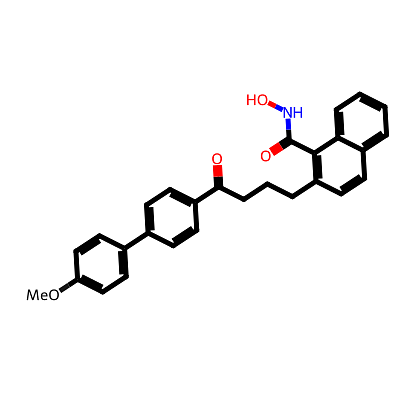 COc1ccc(-c2ccc(C(=O)CCCc3ccc4ccccc4c3C(=O)NO)cc2)cc1